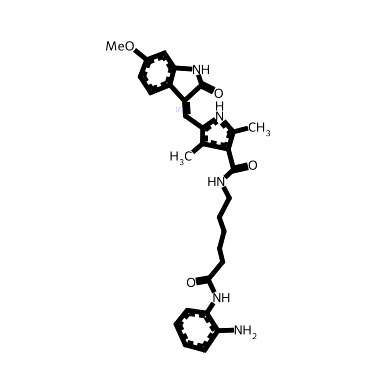 COc1ccc2c(c1)NC(=O)/C2=C\c1[nH]c(C)c(C(=O)NCCCCCC(=O)Nc2ccccc2N)c1C